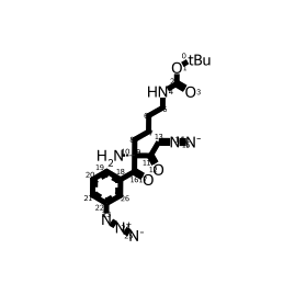 CC(C)(C)OC(=O)NCCCC[C@@](N)(C(=O)C=[N+]=[N-])C(=O)c1cccc(N=[N+]=[N-])c1